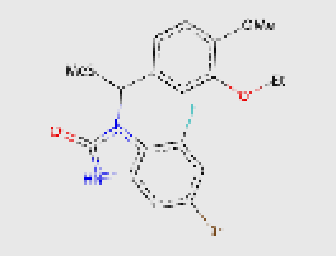 CCOc1cc(C(SC)n2c(=O)[nH]c3cc(Br)cc(F)c32)ccc1OC